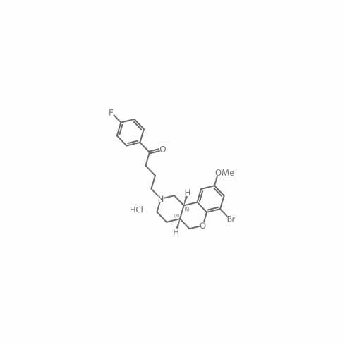 COc1cc(Br)c2c(c1)[C@H]1CN(CCCC(=O)c3ccc(F)cc3)CC[C@H]1CO2.Cl